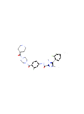 COc1ccc(-c2c(C(C)(C)C)nc(C(=O)Nc3ccc(C(=O)N4CCN(C(=O)C5CCNCC5)CC4)c(Cl)c3)n2C)c(F)c1F